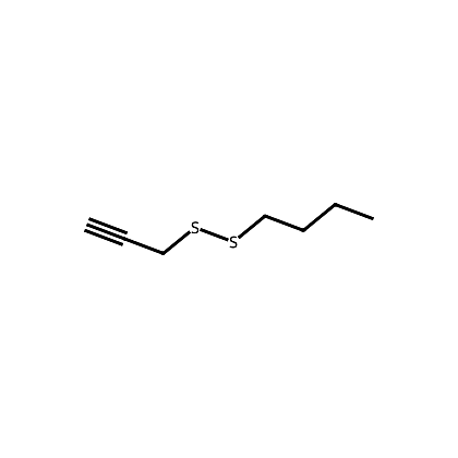 C#CCSSCCCC